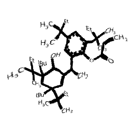 C=CC(=O)Oc1c(C(C)C2=CC(C(C)(C)C)(C(C)(C)CC)CC(C(C)(C)C)(C(C)(C)CC)C2O)cc(C(C)(C)CC)cc1C(C)(C)CC